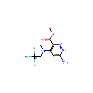 COC(=O)c1nnc(N)cc1N(C)CC(F)(F)F